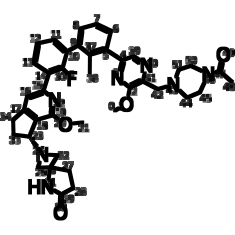 COc1nc(-c2cccc(-c3cccc(-c4cc5c(c(OC)n4)[C@@H](N4CC6(CCC(=O)N6)C4)CC5)c3F)c2C)cnc1CN1CCN(C(C)=O)CC1